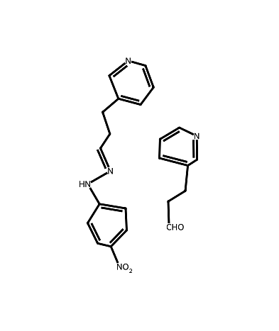 O=CCCc1cccnc1.O=[N+]([O-])c1ccc(NN=CCCc2cccnc2)cc1